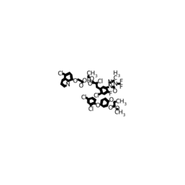 CCOC(=O)C(Cl)Cc1cc(-n2nc(C)n(C(F)F)c2=O)c(F)cc1Cl.COC(=O)C(C)Oc1ccc(Oc2ccc(Cl)cc2Cl)cc1.O=C(O)COc1ccc(Cl)c2cccnc12